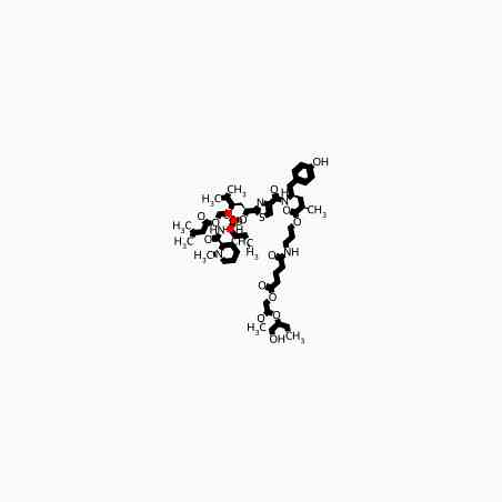 CCC(CO)OC(COC(=O)CCCC(=O)NCCCOC(=O)[C@@H](C)C[C@H](Cc1ccc(O)cc1)NC(=O)c1csc([C@@H](C[C@H](C(C)C)N(COC(=O)CC(C)C)C(=O)[C@@H](NC(=O)[C@H]2CCCCN2C)[C@@H](C)CC)OC(C)=O)n1)OC